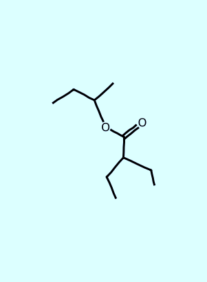 CCC(C)OC(=O)C(CC)CC